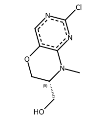 CN1c2nc(Cl)ncc2OC[C@H]1CO